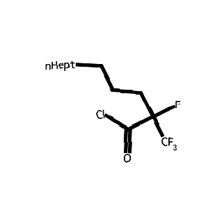 CCCCCCCCCCC(F)(C(=O)Cl)C(F)(F)F